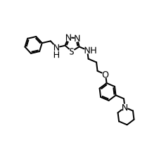 c1ccc(CNc2nnc(NCCCOc3cccc(CN4CCCCC4)c3)s2)cc1